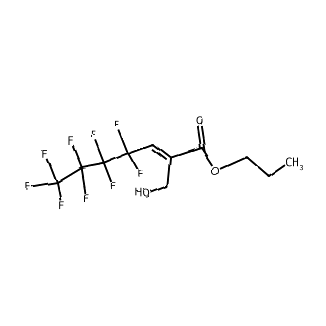 CCCOC(=O)C(=CC(F)(F)C(F)(F)C(F)(F)C(F)(F)F)CO